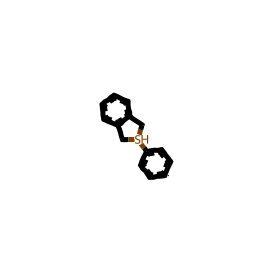 [c]1ccc([SH]2Cc3ccccc3C2)cc1